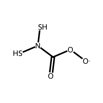 [O]OC(=O)N(S)S